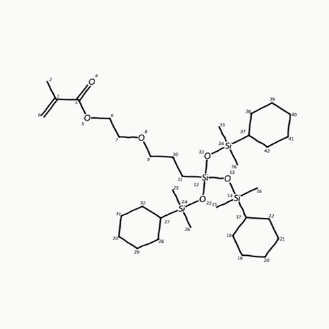 C=C(C)C(=O)OCCOCCC[Si](O[Si](C)(C)C1CCCCC1)(O[Si](C)(C)C1CCCCC1)O[Si](C)(C)C1CCCCC1